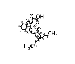 CCCC[N+](CCCC)(CCCC)CCCC.O=C(O)C(=O)OCc1ccccc1